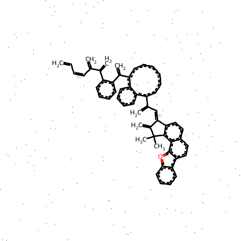 C=C/C=C\C(=C)C(=C)c1ccccc1C(=C)c1ccccccc(C(=C)/C=C2\C(=C)C(C)(C)c3c2ccc2ccc4c5ccccc5oc4c32)c2ccccc12